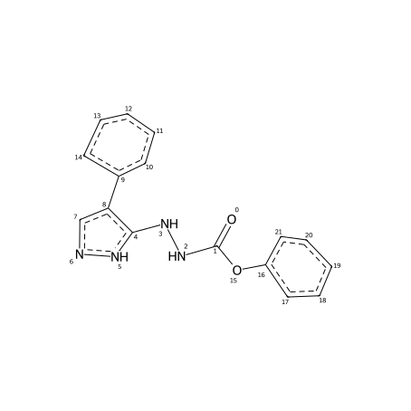 O=C(NNc1[nH]ncc1-c1ccccc1)Oc1ccccc1